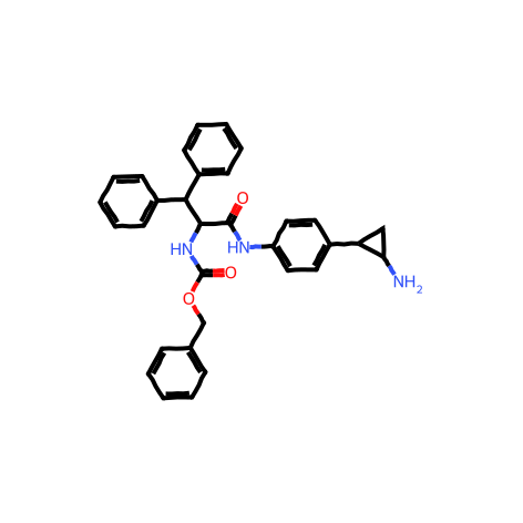 NC1CC1c1ccc(NC(=O)C(NC(=O)OCc2ccccc2)C(c2ccccc2)c2ccccc2)cc1